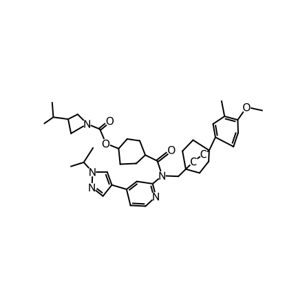 COc1ccc(C23CCC(CN(C(=O)C4CCC(OC(=O)N5CC(C(C)C)C5)CC4)c4cc(-c5cnn(C(C)C)c5)ccn4)(CC2)CC3)cc1C